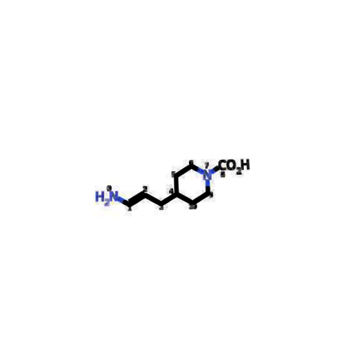 NC=CCC1CCN(C(=O)O)CC1